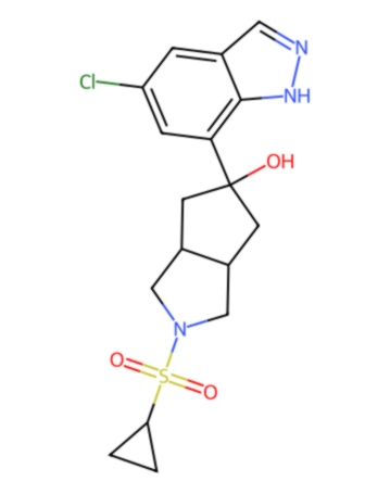 O=S(=O)(C1CC1)N1CC2CC(O)(c3cc(Cl)cc4cn[nH]c34)CC2C1